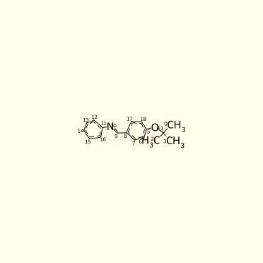 CC(C)(C)Oc1ccc(/C=N/c2ccccc2)cc1